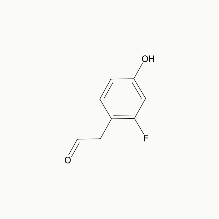 O=CCc1ccc(O)cc1F